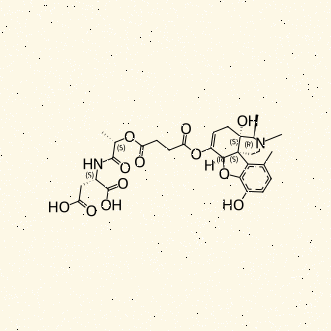 Cc1ccc(O)c2c1[C@]13CCN(C)[C@H](C)[C@]1(O)CC=C(OC(=O)CCC(=O)O[C@@H](C)C(=O)N[C@@H](CC(=O)O)C(=O)O)[C@@H]3O2